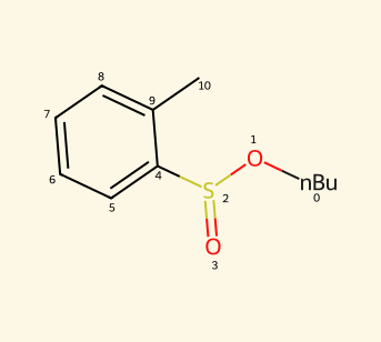 CCCCOS(=O)c1ccccc1C